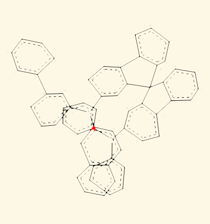 c1ccc(-c2cccc(N(c3ccc4c(c3)C3(c5ccccc5-c5ccc(N(c6ccccc6)c6ccccc6)cc53)c3ccccc3-4)c3ccc4ccccc4c3)c2)cc1